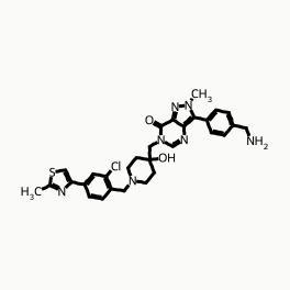 Cc1nc(-c2ccc(CN3CCC(O)(Cn4cnc5c(-c6ccc(CN)cc6)n(C)nc5c4=O)CC3)c(Cl)c2)cs1